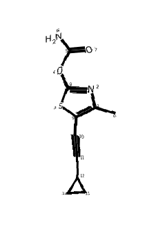 Cc1nc(OC(N)=O)sc1C#CC1CC1